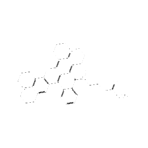 CNC(=O)OCCN(C)C(=O)c1ccccc1C1=c2cc3c4c(c2Oc2c1cc1c5c2CCCN5CCC1)CCC[N+]=4CCC3